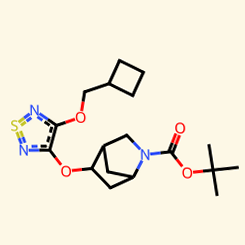 CC(C)(C)OC(=O)N1CC2CC1CC2Oc1nsnc1OCC1CCC1